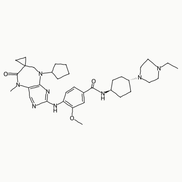 CCN1CCN([C@H]2CC[C@H](NC(=O)c3ccc(Nc4ncc5c(n4)N(C4CCCC4)CC4(CC4)C(=O)N5C)c(OC)c3)CC2)CC1